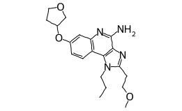 CCCn1c(CCOC)nc2c(N)nc3cc(OC4CCOC4)ccc3c21